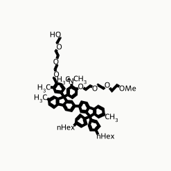 CCCCCCc1ccc(C2(c3ccc(CCCCCC)cc3)c3cc(C)ccc3-c3ccc(-c4ccc5c(c4)C(c4ccc(COCCOCCOCCO)c(C)c4)(c4ccc(OCCOCCOCCOC)c(N(C)C)c4)c4cc(C)ccc4-5)cc32)cc1